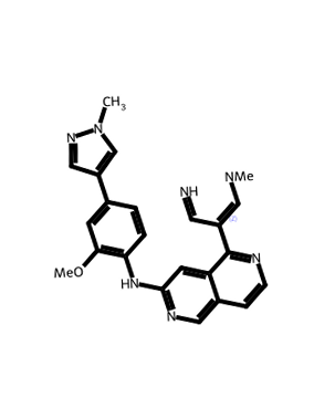 CN/C=C(\C=N)c1nccc2cnc(Nc3ccc(-c4cnn(C)c4)cc3OC)cc12